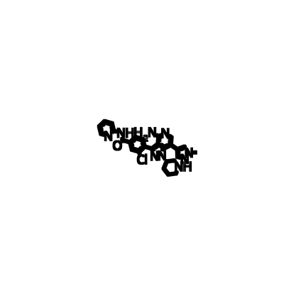 Cn1cc(-c2cnc(N)c3c(-c4ccc(C(=O)Nc5ccccn5)cc4Cl)nn([C@@H]4CCCNC4)c23)cn1